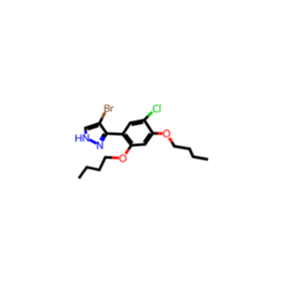 CCCCOc1cc(OCCCC)c(-c2n[nH]cc2Br)cc1Cl